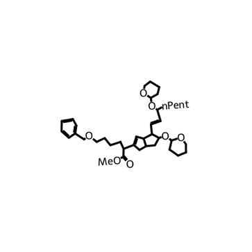 CCCCCC(C=CC1C(OC2CCCCO2)CC2CC(C(CCCCOCc3ccccc3)C(=O)OC)=CC21)OC1CCCCO1